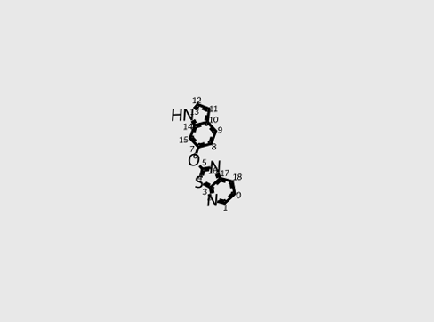 c1cnc2sc(Oc3ccc4cc[nH]c4c3)nc2c1